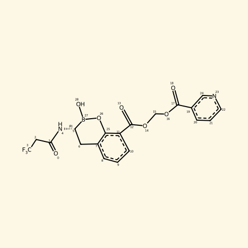 O=C(CC(F)(F)F)N[C@H]1Cc2cccc(C(=O)OCOC(=O)c3cccnc3)c2OB1O